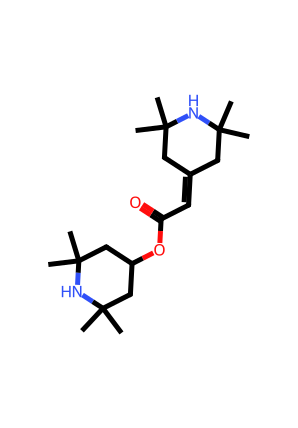 CC1(C)CC(=CC(=O)OC2CC(C)(C)NC(C)(C)C2)CC(C)(C)N1